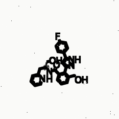 O=C(N[C@@H](CO)Cc1ccccn1)c1cccc(CO)c1-c1cc(-c2ccc(F)cc2)[nH]n1